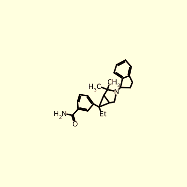 CCC1(c2cccc(C(N)=O)c2)C2CN(C3CCc4ccccc43)C(C)(C)C21